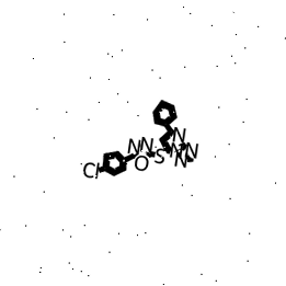 Clc1ccc(-c2nnc(Sc3cc(-c4ccccc4)nc4ncnn34)o2)cc1